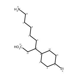 CCC1CCC(C(CCCCCN)CC(=O)O)CC1